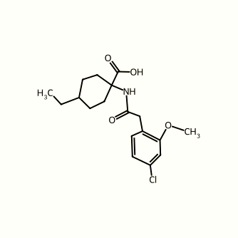 CCC1CCC(NC(=O)Cc2ccc(Cl)cc2OC)(C(=O)O)CC1